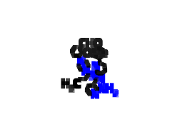 C=CCC(N1CCN(c2cccc(C=O)c2OC)CC1)n1c(-c2cccnc2N)nc2ccc(-c3ccccc3)nc21